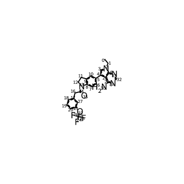 CCn1cc(-c2ccc3c(c2)CCN3C(=O)Cc2cccc(OC(F)(F)F)c2)c2c(N)ncnc21